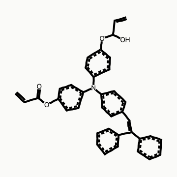 C=CC(=O)Oc1ccc(N(c2ccc(C=C(c3ccccc3)c3ccccc3)cc2)c2ccc(OC(O)C=C)cc2)cc1